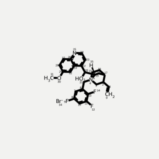 C=CC1C[N+]2(Cc3cc(F)cc(F)c3F)CCC1C[C@H]2C(O)c1ccnc2ccc(OC)cc12.[Br-]